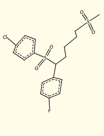 CS(=O)(=O)CCCCC(c1ccc(F)cc1)S(=O)(=O)c1ccc(Cl)cc1